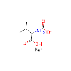 CC(C)C(N)C(=O)O.O=C[O-].[Na+]